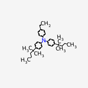 C=Cc1ccc(N(c2ccc(C(C)(C)CCC)cc2)c2ccc(C(C)(C)CCC)cc2)cc1